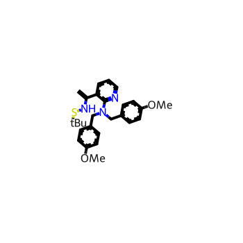 C=C(NSC(C)(C)C)c1cccnc1N(Cc1ccc(OC)cc1)Cc1ccc(OC)cc1